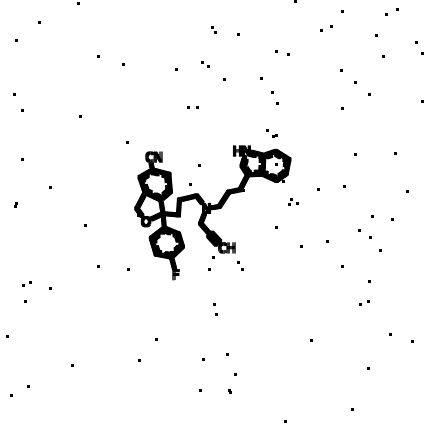 C#CCN(CCCc1c[nH]c2ccccc12)CCCC1(c2ccc(F)cc2)OCc2cc(C#N)ccc21